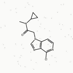 CN(C(=O)Cn1cnc2c(Cl)nccc21)C1CC1